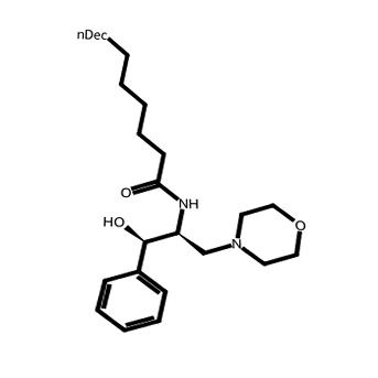 CCCCCCCCCCCCCCCC(=O)N[C@@H](CN1CCOCC1)[C@H](O)c1ccccc1